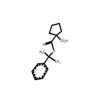 CC(C)(OC(=O)C1(C(=O)O)CCCC1)c1ccccc1